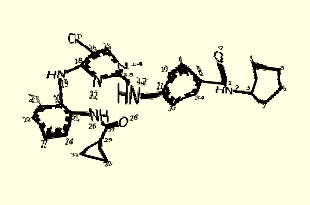 O=C(NC1CCCC1)c1ccc(Nc2ncc(Cl)c(Nc3ccccc3NC(=O)C3CC3)n2)cc1